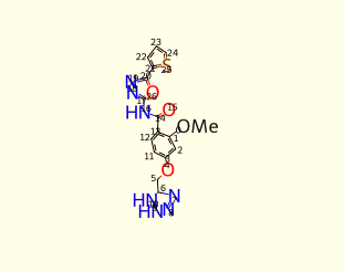 COc1cc(OCC2N=NNN2)ccc1C(=O)Nc1nnc(-c2cccs2)o1